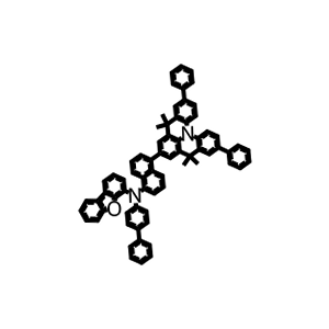 CC1(C)c2cc(-c3ccccc3)ccc2N2c3ccc(-c4ccccc4)cc3C(C)(C)c3cc(-c4cccc5c(N(c6ccc(-c7ccccc7)cc6)c6cccc7c6oc6ccccc67)cccc45)cc1c32